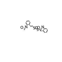 O=[N+]([O-])c1ccccc1C=CSOSC=Cc1ccccc1[N+](=O)[O-]